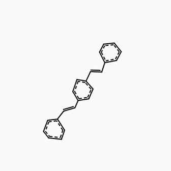 C(=Cc1ccc(C=Cc2ccccc2)cc1)c1ccccc1